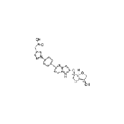 O=C(O)Cc1cnn(-c2ccc(-c3ccc4[nH]c(O[C@@H]5COC6[C@H](O)CO[C@@H]65)cc4n3)cc2)c1